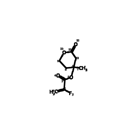 C=C(F)C(=O)OC1(C)CCOC(=O)C1